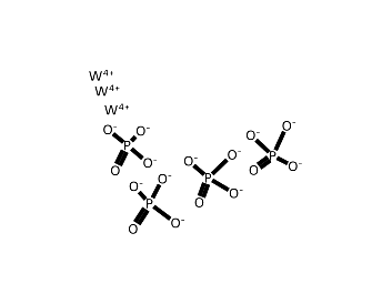 O=P([O-])([O-])[O-].O=P([O-])([O-])[O-].O=P([O-])([O-])[O-].O=P([O-])([O-])[O-].[W+4].[W+4].[W+4]